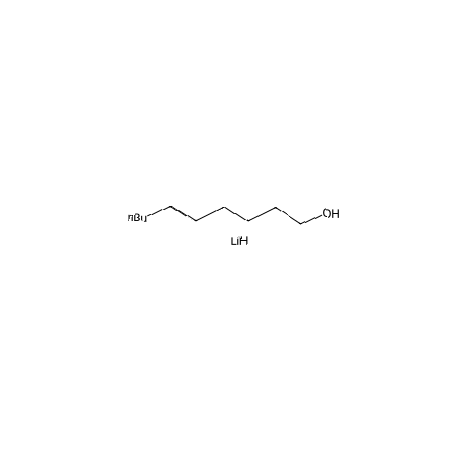 CCCCCCCCCCO.[LiH]